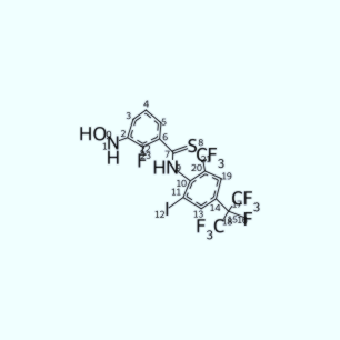 ONc1cccc(C(=S)Nc2c(I)cc(C(F)(C(F)(F)F)C(F)(F)F)cc2C(F)(F)F)c1F